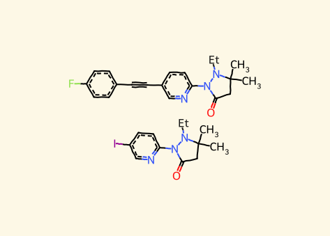 CCN1N(c2ccc(C#Cc3ccc(F)cc3)cn2)C(=O)CC1(C)C.CCN1N(c2ccc(I)cn2)C(=O)CC1(C)C